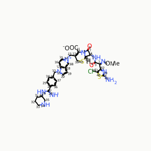 CON=C(C(=O)N[C@@H]1C(=O)N2C(C(=O)[O-])=C(C[n+]3ccc4c(ccn4Cc4ccc(C(=N)N[C@@H]5CCCNC5)cc4)c3)CS[C@H]12)c1nc(N)sc1Cl